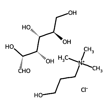 C[N+](C)(C)CCCO.O=C[C@H](O)[C@@H](O)[C@H](O)[C@H](O)CO.[Cl-]